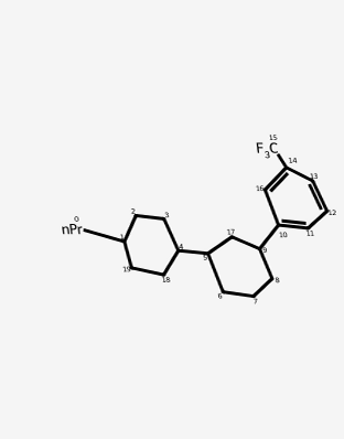 CCCC1CCC(C2CCCC(c3cccc(C(F)(F)F)c3)C2)CC1